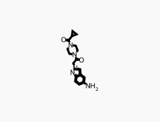 Nc1ccc2nn(CC(=O)N3CCN(C(=O)C4CC4)CC3)cc2c1